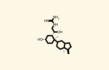 C=C1CCC2CC([C@@]3(C)CC[C@H](O)C[C@@H]3C(O)CNC(=N)N)CC[C@]12C